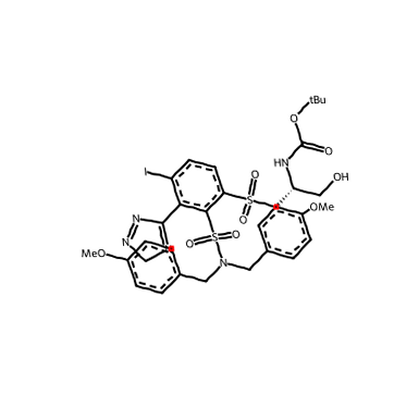 COc1ccc(CN(Cc2ccc(OC)cc2)S(=O)(=O)c2c(S(=O)(=O)C[C@@H](CO)NC(=O)OC(C)(C)C)ccc(I)c2C2=NCN=N2)cc1